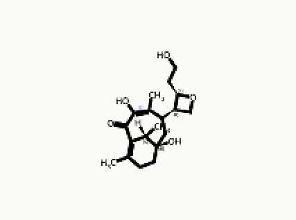 CC1=C2C(=O)/C(O)=C(/C)C([C@@H]3CO[C@@H]3CCO)C[C@](O)(CC1)[C@H]2C